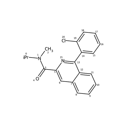 CC(C)N(C)C(=O)c1cc2ccccc2c(-c2ccccc2Cl)n1